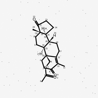 CC(=O)OC[C@]12CCC(=O)C(C)=C1CC[C@@H]1[C@@H]2CC[C@]2(C)C(=O)CC[C@@H]12